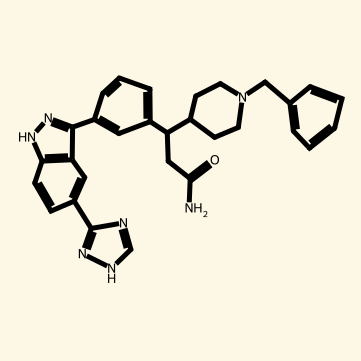 NC(=O)CC(c1cccc(-c2n[nH]c3ccc(-c4nc[nH]n4)cc23)c1)C1CCN(Cc2ccccc2)CC1